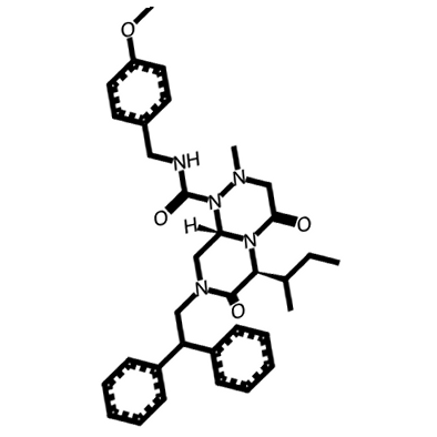 CCC(C)[C@H]1C(=O)N(CC(c2ccccc2)c2ccccc2)C[C@H]2N1C(=O)CN(C)N2C(=O)NCc1ccc(OC)cc1